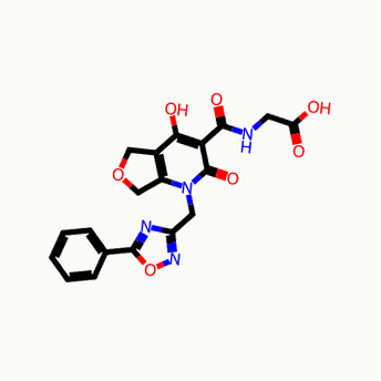 O=C(O)CNC(=O)c1c(O)c2c(n(Cc3noc(-c4ccccc4)n3)c1=O)COC2